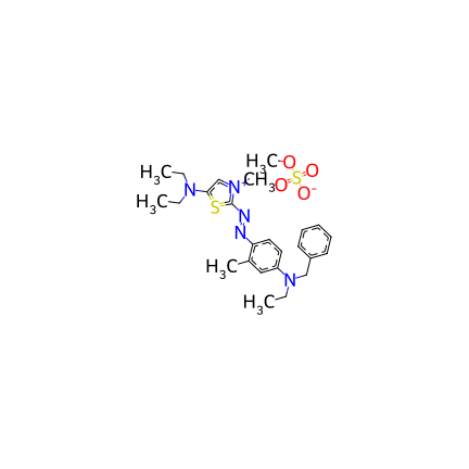 CCN(Cc1ccccc1)c1ccc(N=Nc2sc(N(CC)CC)c[n+]2C)c(C)c1.COS(=O)(=O)[O-]